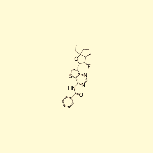 CCC1(CC)O[C@@H](c2csc3c(NC(=O)c4ccccc4)ncnc23)[C@H](F)[C@@H]1C